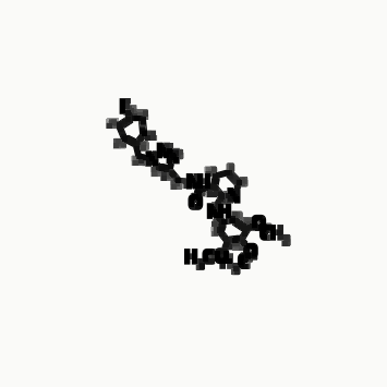 COc1cc(Nc2ncccc2C(=O)NCc2cn(Cc3ccc(F)cc3)nn2)cc(OC)c1OC